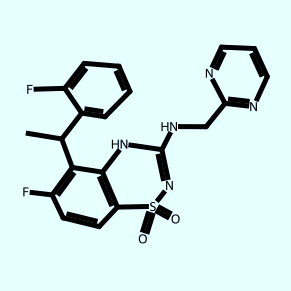 CC(c1ccccc1F)c1c(F)ccc2c1NC(NCc1ncccn1)=NS2(=O)=O